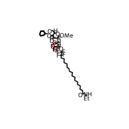 CCNC(=O)CCCCCCCCCCCCCCCCC(F)(F)C(F)(F)OC(F)(F)C(F)(F)S(=O)(=O)O[C@@H]1[C@H](OC)O[C@@H]2COC(c3ccccc3)O[C@H]2[C@@H]1OCOCC